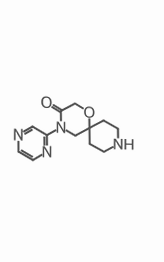 O=C1COC2(CCNCC2)CN1c1cnccn1